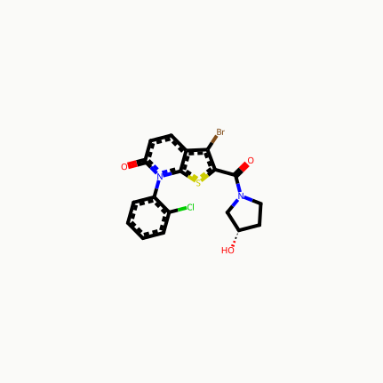 O=C(c1sc2c(ccc(=O)n2-c2ccccc2Cl)c1Br)N1CC[C@H](O)C1